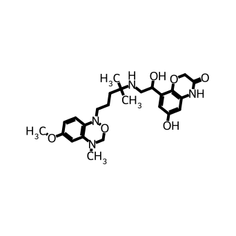 COc1ccc2c(c1)N(C)CON2CCCC(C)(C)NCC(O)c1cc(O)cc2c1OCC(=O)N2